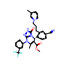 COC(=O)C1=C(C)N(c2cccc(C(F)(F)F)c2)c2n[nH]c(=O)n2[C@@H]1c1ccc(C#N)cc1CCC[n+]1cccc(C)c1